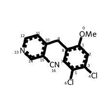 COc1cc(Cl)c(Cl)cc1Cc1ccncc1C#N